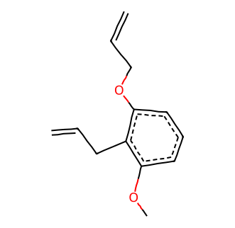 C=CCOc1cccc(OC)c1CC=C